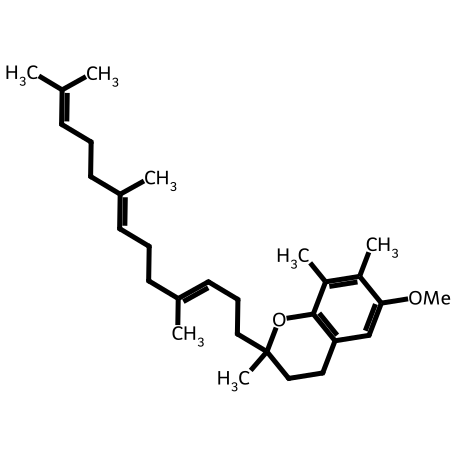 COc1cc2c(c(C)c1C)OC(C)(CC/C=C(\C)CC/C=C(\C)CCC=C(C)C)CC2